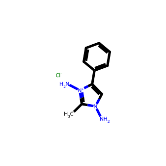 Cc1n(N)cc(-c2ccccc2)[n+]1N.[Cl-]